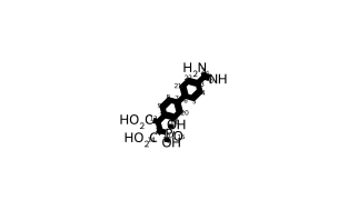 N=C(N)c1ccc(-c2ccc(C(C(=O)O)C(C(=O)O)P(=O)(O)O)cc2)cc1